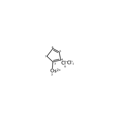 [Cl-].[Cl-].[Os+2][C]1=CC=CC1